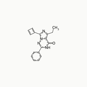 CCc1nc(C2=CC=C2)n2nc(-c3ccccc3)[nH]c(=O)c12